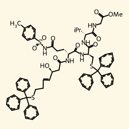 COC(=O)CNC(=O)[C@H](NC(=O)[C@@H](CSC(c1ccccc1)(c1ccccc1)c1ccccc1)NC(=O)[C@@H](CCC(=O)NS(=O)(=O)c1ccc(C)cc1)NC(=O)C[C@H](O)C=CCCSC(c1ccccc1)(c1ccccc1)c1ccccc1)C(C)C